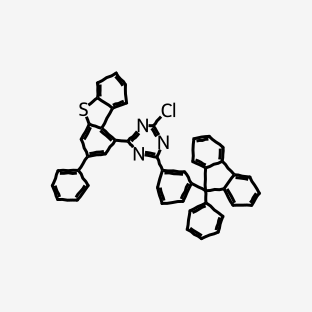 Clc1nc(-c2cccc(C3(c4ccccc4)c4ccccc4-c4ccccc43)c2)nc(-c2cc(-c3ccccc3)cc3sc4ccccc4c23)n1